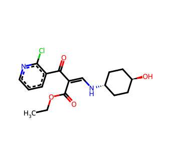 CCOC(=O)C(=CN[C@H]1CC[C@H](O)CC1)C(=O)c1cccnc1Cl